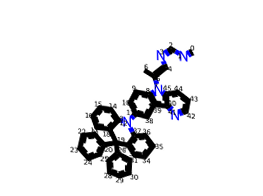 C=N/C=N\C=C(/C)n1c2ccc(N3c4ccccc4C(c4ccccc4)(c4ccccc4)c4ccccc43)cc2c2ncccc21